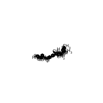 CCc1cc(Nc2ncc(Br)c(Nc3ccc4nc(C)ccc4c3P(C)(C)=O)n2)c(OC)cc1N1CCC(N2CCN(C(=O)C3CN(c4cccc5c4C(C)(C)C(=O)N5C4CCC(=O)NC4=O)C3)CC2)CC1